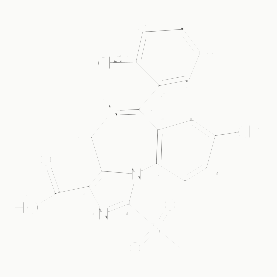 CS(=O)(=O)c1nc(C(=O)O)c2n1-c1ccc(Cl)cc1C(c1ccccc1Cl)=NC2